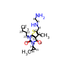 Cc1c(CNCCN)sc2c1c(=O)n(C1CC1C)c(=O)n2CCCC(F)(F)F